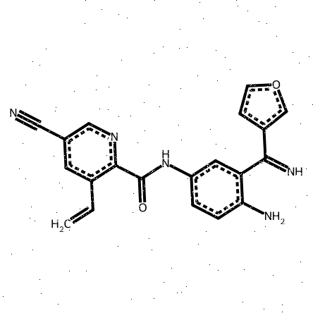 C=Cc1cc(C#N)cnc1C(=O)Nc1ccc(N)c(C(=N)c2ccoc2)c1